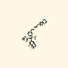 Cc1cc(-c2c(C(C)C)c3cc(C=CCCCNCc4ccccc4)ccc3n2C(=O)OC(C)(C)C)cn2ncnc12